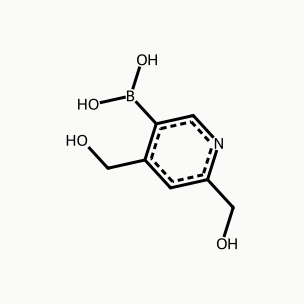 OCc1cc(CO)c(B(O)O)cn1